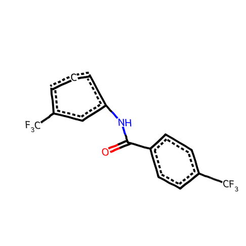 O=C(Nc1cccc(C(F)(F)F)c1)c1ccc(C(F)(F)F)cc1